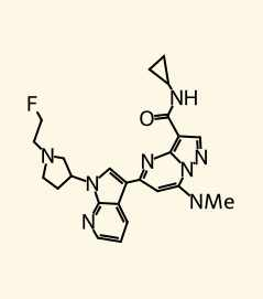 CNc1cc(-c2cn(C3CCN(CCF)C3)c3ncccc23)nc2c(C(=O)NC3CC3)cnn12